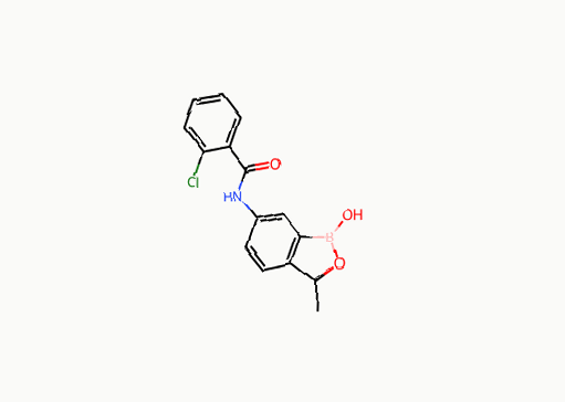 CC1OB(O)c2cc(NC(=O)c3ccccc3Cl)ccc21